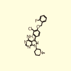 CN1CCCC(n2nc(-c3ccc(OCc4ccccc4F)c(Cl)c3)c3c(N)ncnc32)C1